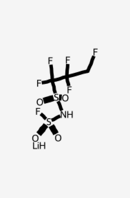 O=S(=O)(F)NS(=O)(=O)C(F)(F)C(F)(F)CF.[LiH]